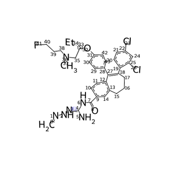 C=NN/N=C(\N)NC(=O)c1ccc2c(c1)CCCC(c1ccc(Cl)cc1Cl)=C2c1ccc(O[C@@H](CC)CN(C)CCCF)cc1